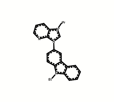 CCn1c2ccccc2c2cc(-n3c[n+](C(C)C)c4cccnc43)ccc21